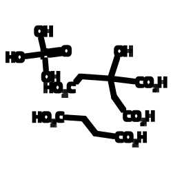 O=C(O)CC(O)(CC(=O)O)C(=O)O.O=C(O)CCC(=O)O.O=P(O)(O)O